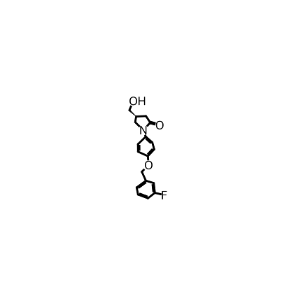 O=C1C[C@H](CO)CN1c1ccc(OCc2cccc(F)c2)cc1